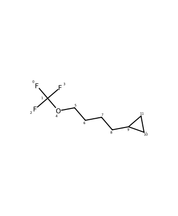 FC(F)(F)OCCCCC1[CH]C1